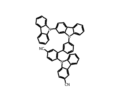 N#Cc1ccc(-n2c3ccccc3c3cc(C#N)ccc32)c(-c2cccc(-n3c4ccccc4c4ccc(-n5c6ccccc6c6ccccc65)cc43)c2)c1